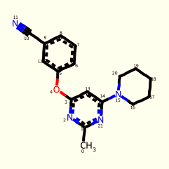 Cc1nc(Oc2cccc(C#N)c2)cc(N2CCCCC2)n1